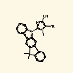 [C-]#[N+]c1c(C#N)nc(-n2c3ccccc3c3cc4c(cc32)-c2ccccc2C4(C)C)n1C